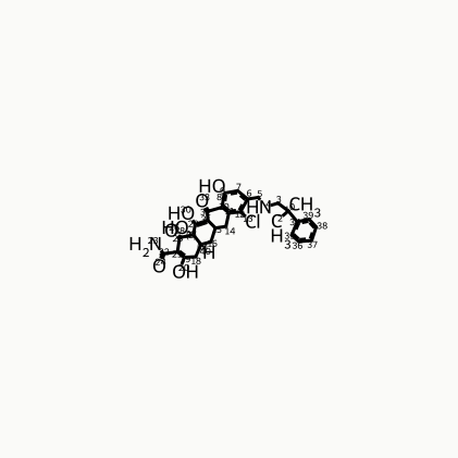 CC(C)(CNCc1cc(O)c2c(c1Cl)CC1C[C@H]3CC(O)=C(C(N)=O)C(=O)[C@@]3(O)C(O)=C1C2=O)c1ccccc1